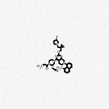 C=CC(=O)N1CCN(c2nc(OCC3(CN4CC[C@@H](F)C4)CC3)nc3c2CCN(c2cccc4cccc(C)c24)C3)C[C@@H]1CC#N